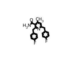 Cc1cc(Cc2ccc(F)cc2)nc(Cc2ccc(F)cc2)c1C(N)=O